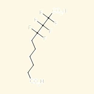 O=C(O)CCCCCC(F)(F)C(F)(F)C(F)(F)C(=O)O